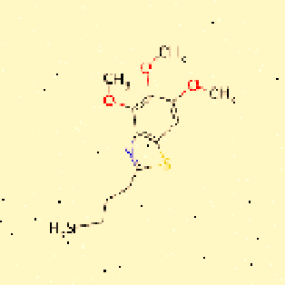 COc1cc2sc(CCC[SiH3])nc2c(OC)c1OC